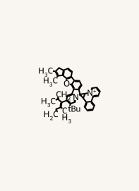 C=C/C(C)=C(\C(=C)C)c1cc2[n+](cc1C(C)(C)C)C1(c3ccc4c(oc5c6c(ccc54)CC(C)=C6C)c3-2)C2c3ccccc3-c3cccc[n+]3C21